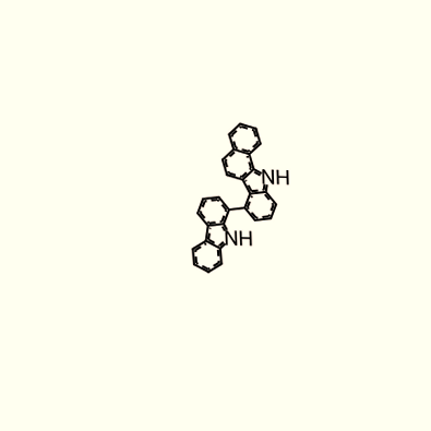 c1ccc2c(c1)ccc1c2[nH]c2cccc(-c3cccc4c3[nH]c3ccccc34)c21